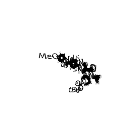 COc1ccc(NC(=O)c2ccc(-c3ncc(C(=O)N(C4CC4)C4CCN(C(=O)OC(C)(C)C)CC4)cn3)c(F)c2)c(OC)c1